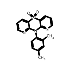 Cc1ccc(N2c3ncccc3S(=O)(=O)c3cccnc32)c(C)c1